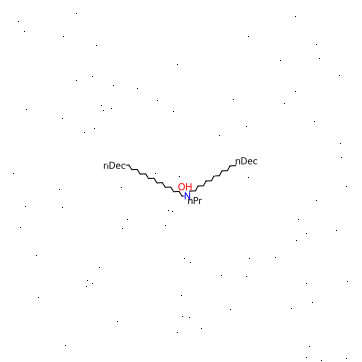 CCCCCCCCCCCCCCCCCCCCCCC(O)CN(CCC)CCCCCCCCCCCCCCCCCCCCCC